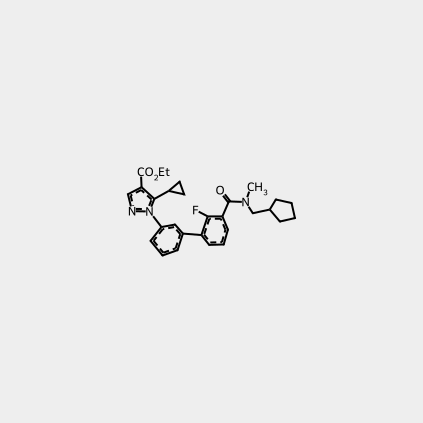 CCOC(=O)c1cnn(-c2cccc(-c3cccc(C(=O)N(C)CC4CCCC4)c3F)c2)c1C1CC1